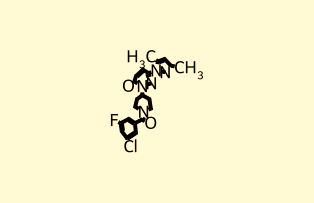 Cc1cc(C)n(-c2ccc(=O)n(C3CCN(C(=O)c4cc(F)cc(Cl)c4)CC3)n2)n1